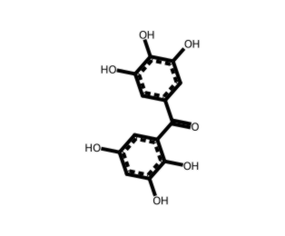 O=C(c1cc(O)c(O)c(O)c1)c1cc(O)cc(O)c1O